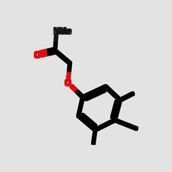 CNC(=O)COc1cc(C)c(C)c(C)c1